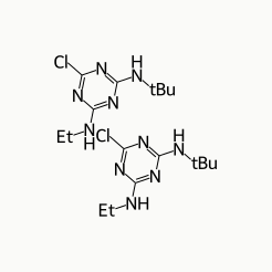 CCNc1nc(Cl)nc(NC(C)(C)C)n1.CCNc1nc(Cl)nc(NC(C)(C)C)n1